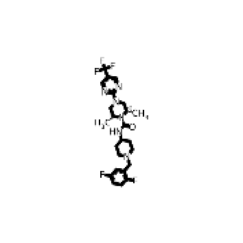 C[C@@H]1CN(c2ncc(C(F)(F)F)cn2)C[C@H](C)N1C(=O)NC1CCN(Cc2cc(F)ccc2F)CC1